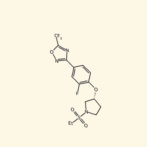 CCS(=O)(=O)N1CC[C@@H](Oc2ccc(-c3noc(C(F)(F)F)n3)cc2F)C1